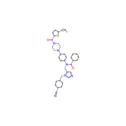 Cc1ccc(C(=O)N2CCN(c3ccc(N(Cc4cncn4Cc4ccc(C#N)cc4)C(=O)c4ccccc4)cc3)CC2)s1